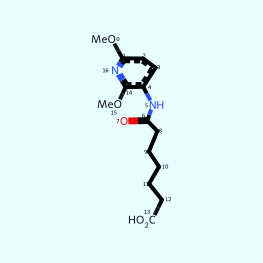 COc1ccc(NC(=O)CCCCCC(=O)O)c(OC)n1